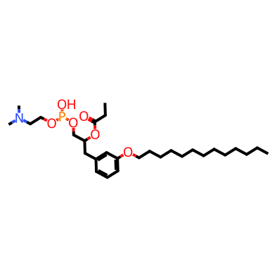 CCCCCCCCCCCCCOc1cccc(CC(COP(O)OCCN(C)C)OC(=O)CC)c1